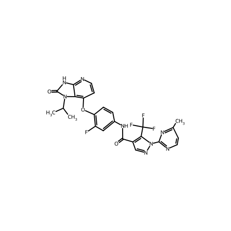 Cc1ccnc(-n2ncc(C(=O)Nc3ccc(Oc4ccnc5[nH]c(=O)n(C(C)C)c45)c(F)c3)c2C(F)(F)F)n1